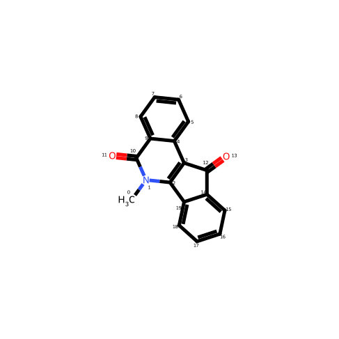 Cn1c2c(c3ccccc3c1=O)C(=O)c1ccccc1-2